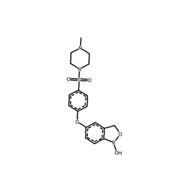 CN1CCN(S(=O)(=O)c2ccc(Oc3ccc4c(c3)COB4O)cc2)CC1